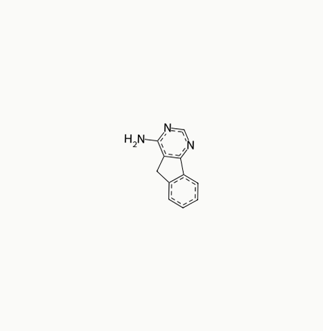 Nc1ncnc2c1Cc1ccccc1-2